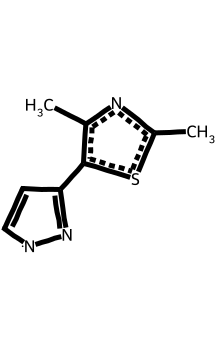 Cc1nc(C)c(C2=N[N]C=C2)s1